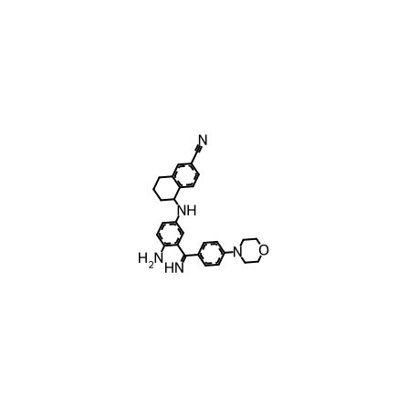 N#Cc1ccc2c(c1)CCCC2Nc1ccc(N)c(C(=N)c2ccc(N3CCOCC3)cc2)c1